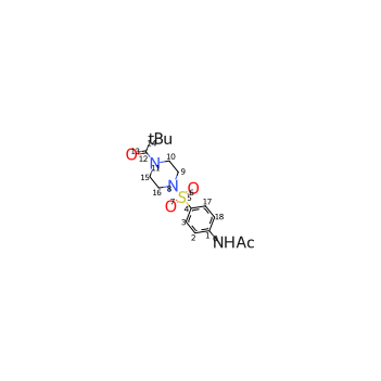 CC(=O)Nc1ccc(S(=O)(=O)N2CCN(C(=O)C(C)(C)C)CC2)cc1